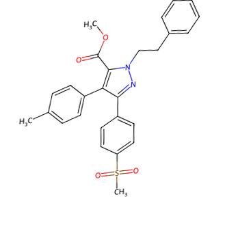 COC(=O)c1c(-c2ccc(C)cc2)c(-c2ccc(S(C)(=O)=O)cc2)nn1CCc1ccccc1